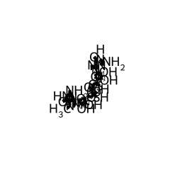 CN1CN([C@@H]2O[C@H](COP(=O)(S)OP(=O)(O)OC(=S)[C@H]3O[C@@H](n4cnc5c(=O)[nH]c(N)nc54)[C@H](O)[C@@H]3O)[C@@H](O)[C@H]2O)c2nc(N)[nH]c(=O)c21